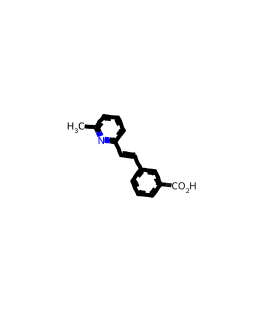 Cc1cccc(/C=C/c2cccc(C(=O)O)c2)n1